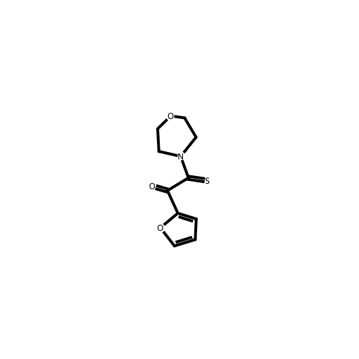 O=C(C(=S)N1CCOCC1)c1ccco1